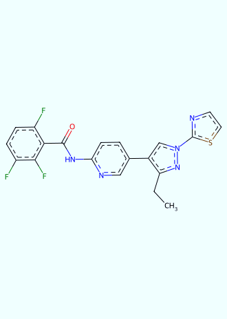 CCc1nn(-c2nccs2)cc1-c1ccc(NC(=O)c2c(F)ccc(F)c2F)nc1